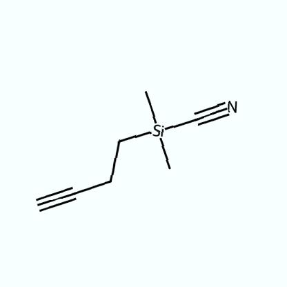 C#CCC[Si](C)(C)C#N